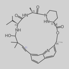 CC(C)[C@@H]1NC(O)C(C)(C)/C=C/c2ccc3ccc(nc3c2)[C@@H](C)OC(=O)[C@@H]2CCCN(N2)C(=O)[C@H](C)NC1=O